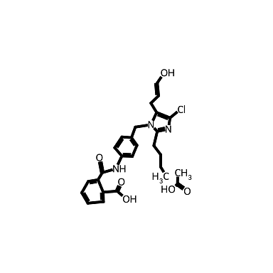 CC(=O)O.CCCCc1nc(Cl)c(CC=CO)n1Cc1ccc(NC(=O)c2ccccc2C(=O)O)cc1